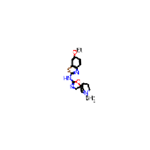 [BH3-][N+]12CCC(CC1)C1(CN=C(Nc3nc4ccc(OCC)cc4s3)O1)C2